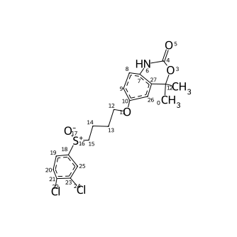 CC1(C)OC(=O)Nc2ccc(OCCCC[S+]([O-])c3ccc(Cl)c(Cl)c3)cc21